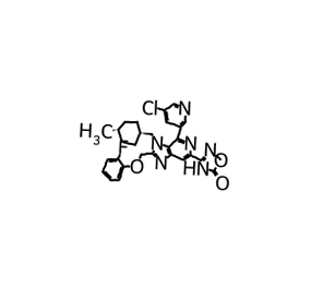 C[C@H]1CC[C@H](Cn2c(COc3ccccc3F)nc3cc(-c4noc(=O)[nH]4)nc(-c4cncc(Cl)c4)c32)CC1